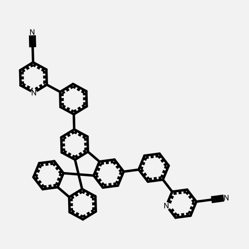 N#Cc1ccnc(-c2cccc(-c3ccc4c(c3)-c3cc(-c5cccc(-c6cc(C#N)ccn6)c5)ccc3C43c4ccccc4-c4ccccc43)c2)c1